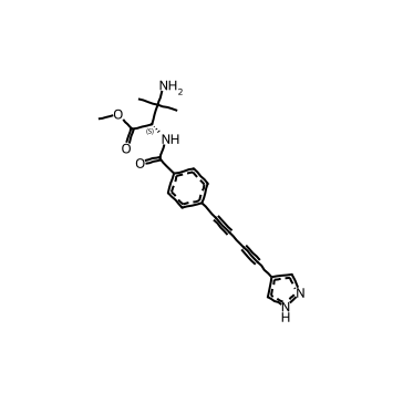 COC(=O)[C@@H](NC(=O)c1ccc(C#CC#Cc2cn[nH]c2)cc1)C(C)(C)N